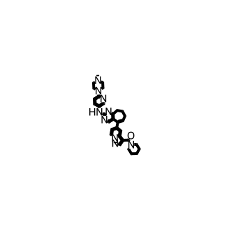 CN1CCN(c2ccc(Nc3ncc4c(n3)CCCC=C4c3ccn4ncc(C(=O)N5CCCCC5)c4c3)cn2)CC1